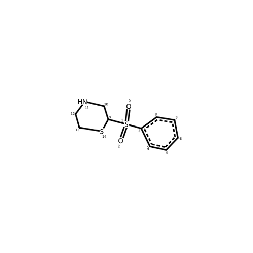 O=S(=O)(c1[c]cccc1)C1CNCCS1